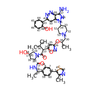 Cc1ncsc1-c1ccc([C@H](C)NC(=O)[C@@H]2C[C@@H](O)CN2C(=O)C(c2cc(OC(C)CN3CCC(n4nc(N)c5nnc(-c6ccccc6O)cc54)CC3)no2)C(C)C)cc1